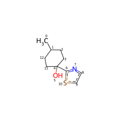 CC1CCC(O)(c2nccs2)CC1